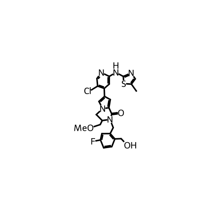 COCC1Cn2cc(-c3cc(Nc4ncc(C)s4)ncc3Cl)cc2C(=O)N1Cc1cc(F)ccc1CO